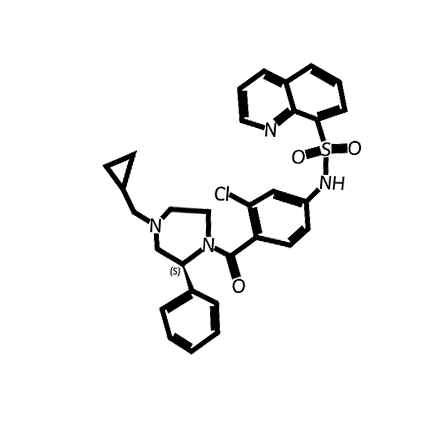 O=C(c1ccc(NS(=O)(=O)c2cccc3cccnc23)cc1Cl)N1CCN(CC2CC2)C[C@@H]1c1ccccc1